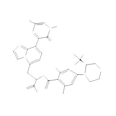 Cc1cn(C)c(=O)c(-c2ccc(CC(NC(=O)c3c(F)cc(N4CCOC[C@@H]4C(F)(F)F)cc3F)C(=O)O)n3ccnc23)n1